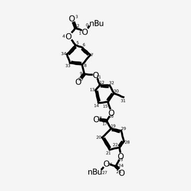 CCCCOC(=O)Oc1ccc(C(=O)Oc2ccc(OC(=O)c3ccc(OC(=O)OCCCC)cc3)c(C)c2)cc1